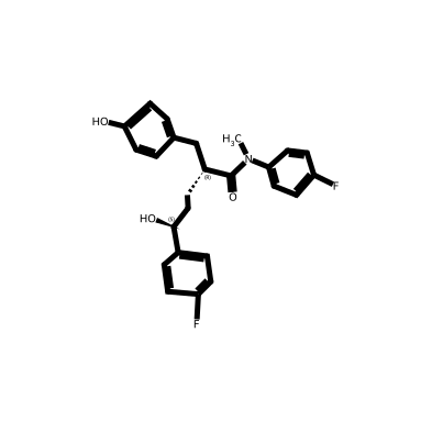 CN(C(=O)[C@H](CC[C@H](O)c1ccc(F)cc1)Cc1ccc(O)cc1)c1ccc(F)cc1